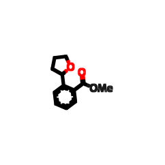 COC(=O)c1ccccc1C1CCCO1